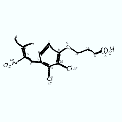 CC(C)=C(Cc1ccc(OCCCC(=O)O)c(Cl)c1Cl)[N+](=O)[O-]